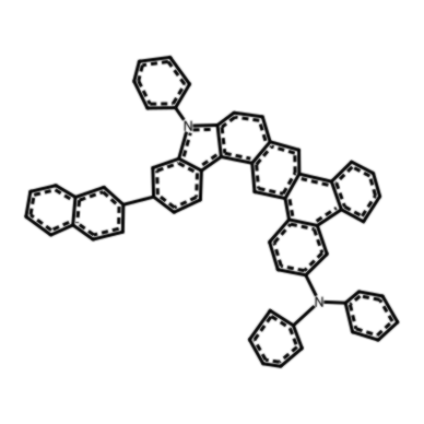 c1ccc(N(c2ccccc2)c2ccc3c(c2)c2ccccc2c2cc4ccc5c(c4cc32)c2ccc(-c3ccc4ccccc4c3)cc2n5-c2ccccc2)cc1